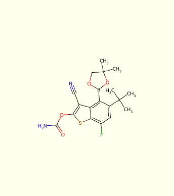 CC1(C)COB(c2c(C(C)(C)C)cc(F)c3sc(OC(N)=O)c(C#N)c23)O1